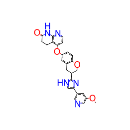 COc1cncc(-c2c[nH]c(C3COc4ccc(Oc5ccnc6c5CCC(=O)N6)cc4C3)n2)c1